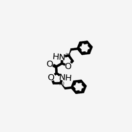 O=C(C1N[C@@H](Cc2ccccc2)CO1)C1N[C@@H](Cc2ccccc2)CO1